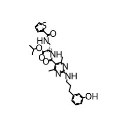 Cc1nc(NCCCc2cccc(O)c2)nc(C)c1C(=O)N[C@@H](CNC(=O)c1cccs1)C(=O)OC(C)C